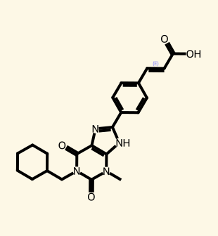 Cn1c(=O)n(CC2CCCCC2)c(=O)c2nc(-c3ccc(/C=C/C(=O)O)cc3)[nH]c21